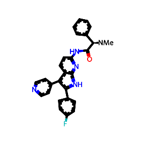 CN[C@@H](C(=O)Nc1ccc2c(-c3ccncc3)c(-c3ccc(F)cc3)[nH]c2n1)c1ccccc1